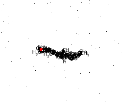 C=CC(=O)Nc1cc(Nc2nc(N3CCC[C@@H](N4CCn5c(cc6c5CC(C)(C)C6)C4=O)[C@H]3[C@@H](C)O)cn(C)c2=O)ccc1N1CCN(C2CCN(c3ccc4c(c3)CN(C3CCC(C)(OP(=O)(O)O)CC3)C4=O)[C@H](C)C2)C[C@@H]1C